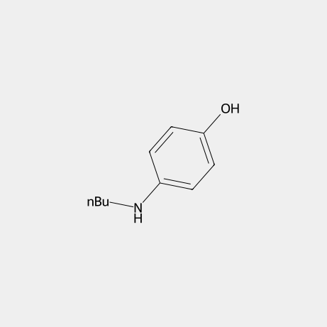 CCCCNc1ccc(O)cc1